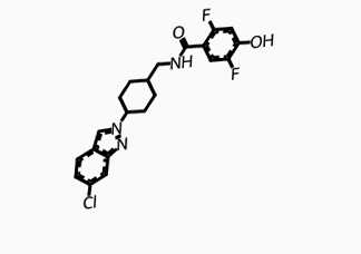 O=C(NCC1CCC(n2cc3ccc(Cl)cc3n2)CC1)c1cc(F)c(O)cc1F